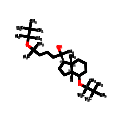 CC(C)(CCCC(C)(O)[C@H]1CC[C@H]2C(O[Si](C)(C)C(C)(C)C)CCC[C@]12C)O[Si](C)(C)C(C)(C)C